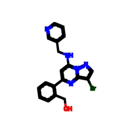 OCc1ccccc1-c1cc(NCc2cccnc2)n2ncc(Br)c2n1